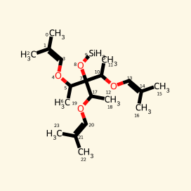 CC(C)=COC(C)C(O[SiH3])(C(C)OC=C(C)C)C(C)OC=C(C)C